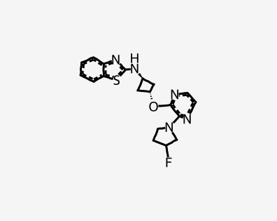 FC1CCN(c2nccnc2O[C@H]2C[C@H](Nc3nc4ccccc4s3)C2)C1